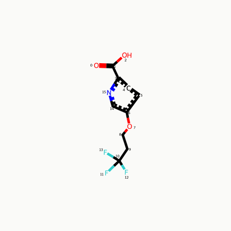 O=C(O)c1ccc(OCCC(F)(F)F)cn1